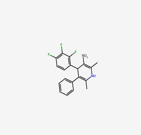 CC1=C(c2ccccc2)C(c2ccc(F)c(F)c2F)C([N+](=O)[O-])=C(C)N1